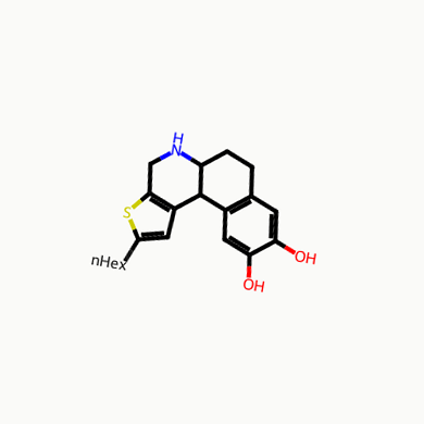 CCCCCCc1cc2c(s1)CNC1CCc3cc(O)c(O)cc3C21